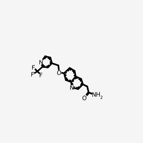 NC(=O)Cc1cnc2cc(OCc3ccnc(C(F)(F)F)c3)ccc2c1